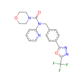 O=C(N1CCOCC1)N(Cc1ccc(-c2nnc(C(F)(F)F)o2)cc1)c1ccccn1